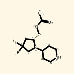 O=C(OC[C@H]1CC(F)(F)CN1C1CCNCC1)C(F)(F)F